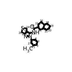 Cc1cccc(-n2nc3c(c2NC(=O)c2ccc4ccccc4c2)CSC3)c1